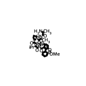 COOc1ccccc1C1=C(C(=O)N(C)C(=O)[C@@H](NC(=O)[C@@H]2CCCN2C(=O)[C@H](C)NC(=O)[C@H](C)N)C(C)C)C(=O)CCC1=O